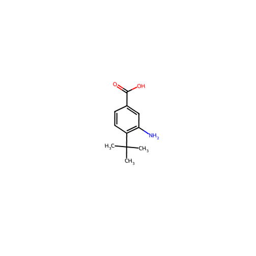 CC(C)(C)c1ccc(C(=O)O)cc1N